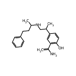 C=C(N)c1cc(C(C)CNC(C)CCc2ccccc2)ccc1O